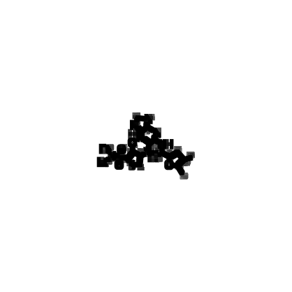 CC[C@@H](Nc1nc2c(nc1Nc1csc(S(=O)(=O)N(CC)CC)c1O)=NCN=2)c1cc(C)c(C)o1